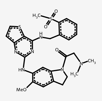 COc1cc2c(cc1Nc1nc(NCc3ccccc3S(C)(=O)=O)c3sccc3n1)N(C(=O)CN(C)C)CC2